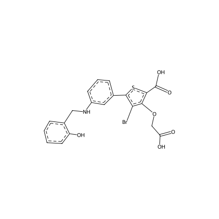 O=C(O)COc1c(C(=O)O)sc(-c2cccc(NCc3ccccc3O)c2)c1Br